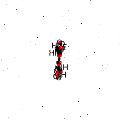 CC[C@H](NC(=O)OC)C(=O)N1CCC[C@H]1c1ncc(-c2ccc(C#Cc3ccc4nc([C@@H]5CCCN5C(=O)[C@H](CC(F)(F)F)NC(=O)OC)[nH]c4c3)cc2)[nH]1